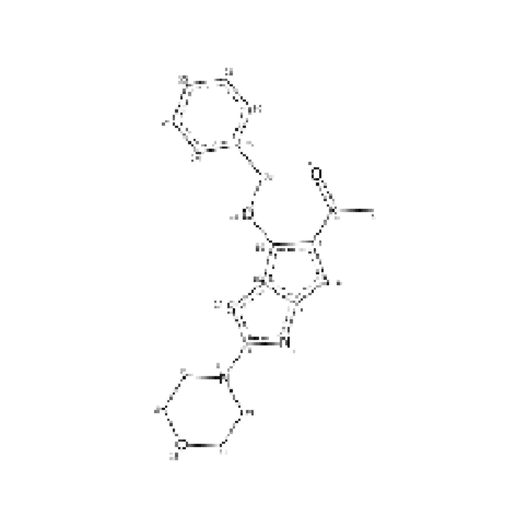 CC(=O)c1sc2nc(N3CCOCC3)sc2c1OCc1ccccc1